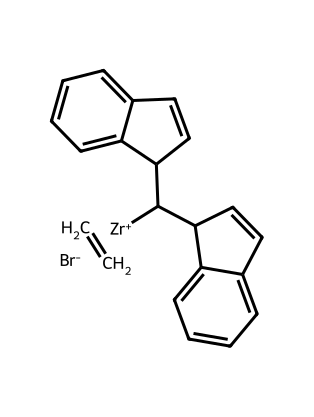 C=C.[Br-].[Zr+][CH](C1C=Cc2ccccc21)C1C=Cc2ccccc21